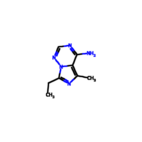 CCc1nc(C)c2c(N)ncnn12